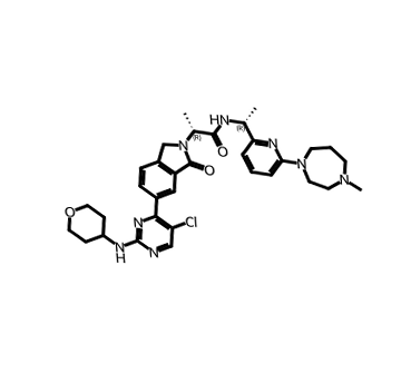 C[C@H](C(=O)N[C@H](C)c1cccc(N2CCCN(C)CC2)n1)N1Cc2ccc(-c3nc(NC4CCOCC4)ncc3Cl)cc2C1=O